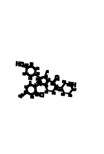 Cc1c2c(n(-c3ccc(F)cc3Cl)c1-c1ccc(O)cc1)CCN(C1CCCNC1)C2=O